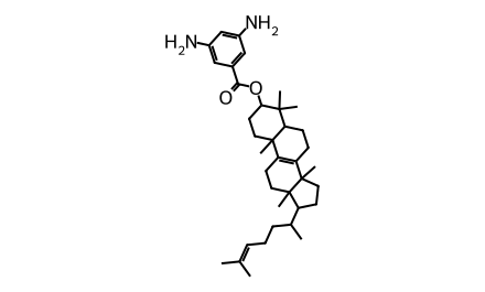 CC(C)=CCCC(C)C1CCC2(C)C3=C(CCC12C)C1(C)CCC(OC(=O)c2cc(N)cc(N)c2)C(C)(C)C1CC3